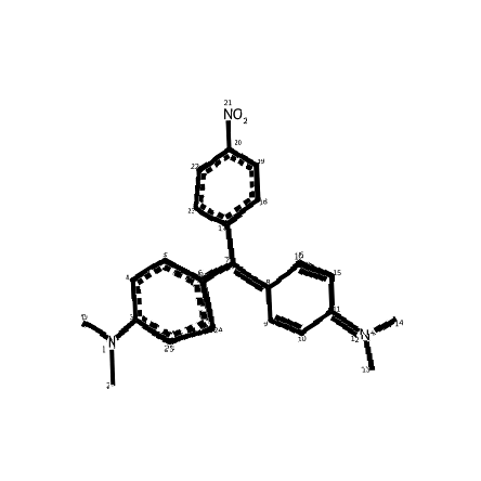 CN(C)c1ccc(C(=C2C=CC(=[N+](C)C)C=C2)c2ccc([N+](=O)[O-])cc2)cc1